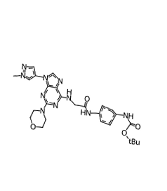 Cn1cc(-n2cnc3c(NCC(=O)Nc4ccc(NC(=O)OC(C)(C)C)cc4)nc(N4CCOCC4)nc32)cn1